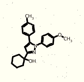 COc1ccc(-n2nc(C3(O)CCCCC3)cc2-c2ccc(C)cc2)cc1